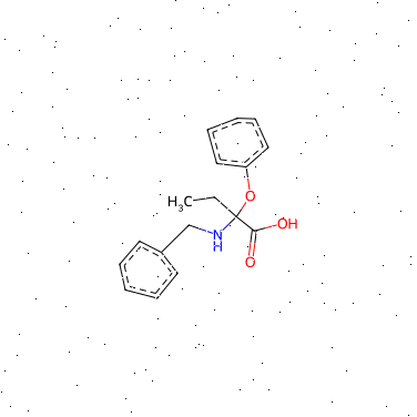 CCC(NCc1ccccc1)(Oc1ccccc1)C(=O)O